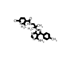 Cc1ccc(-c2nn(C(C)(C)CNC(=O)c3ccc(Cl)nc3C)c3ncnc(N)c23)cc1